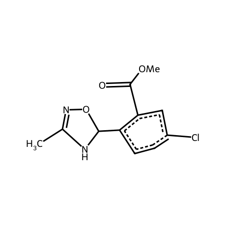 COC(=O)c1cc(Cl)ccc1C1NC(C)=NO1